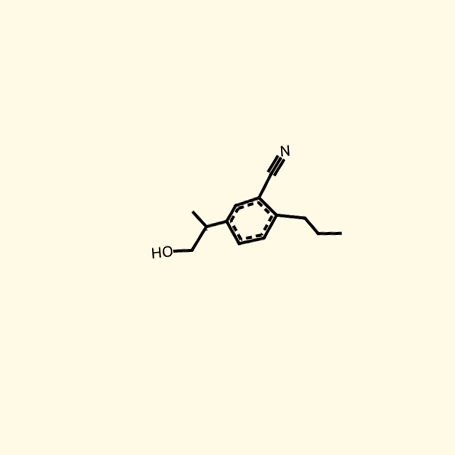 CCCc1ccc([C](C)CO)cc1C#N